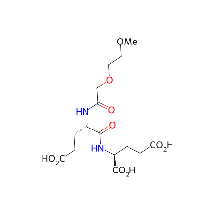 COCCOCC(=O)N[C@@H](CCC(=O)O)C(=O)N[C@@H](CCC(=O)O)C(=O)O